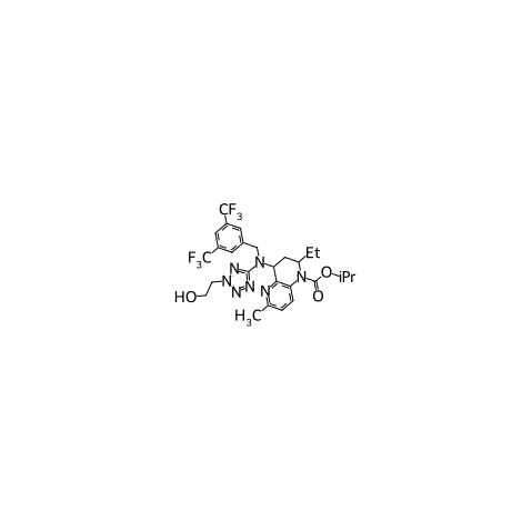 CCC1CC(N(Cc2cc(C(F)(F)F)cc(C(F)(F)F)c2)c2nnn(CCO)n2)c2nc(C)ccc2N1C(=O)OC(C)C